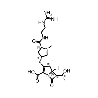 C[C@@H](O)[C@H]1C(=O)N2C(C(=O)O)=C(S[C@H]3C[C@@H](C(=O)NCCNC(=N)N)N(C)C3)[C@H](C)[C@H]12